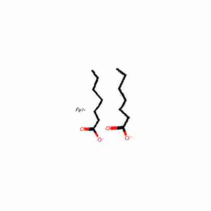 CCCCCCC(=O)[O-].CCCCCCC(=O)[O-].[Fe+2]